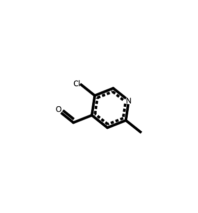 Cc1cc(C=O)c(Cl)cn1